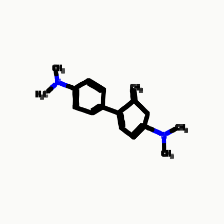 C=C1CC(N(C)C)=CC=C1c1ccc(N(C)C)cc1